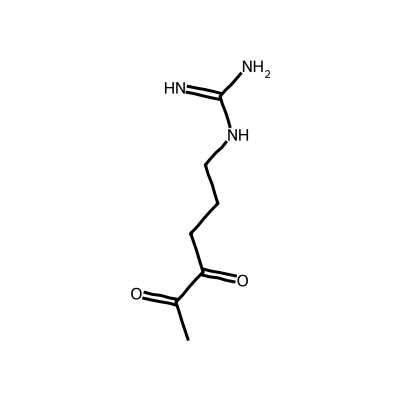 CC(=O)C(=O)CCCNC(=N)N